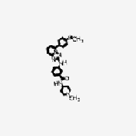 COc1ccc(-c2cccc3nc(Nc4cccc(C(=O)NC5CCN(C)CC5)c4)nn23)cc1